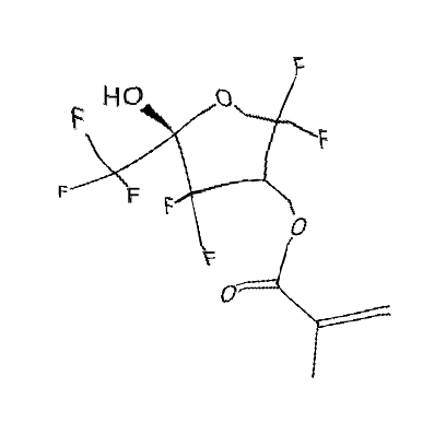 C=C(C)C(=O)OC1C(F)(F)O[C@@](O)(C(F)(F)F)C1(F)F